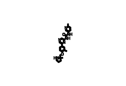 Cc1ccc(NC(=O)Nc2cncc(-c3ccc(OCC4(C)CCCN4)c(C)c3)n2)cn1